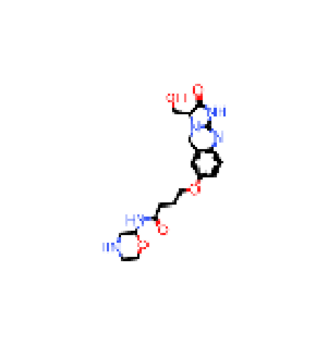 O=C(CCCOc1ccc2c(c1)CN1C(=N2)NC(=O)C1CO)NC1CNCCO1